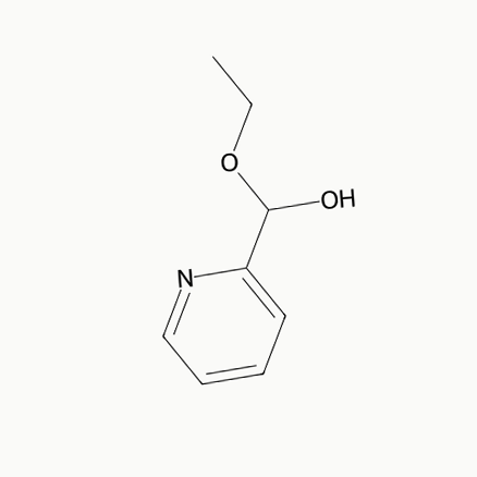 CCOC(O)c1ccccn1